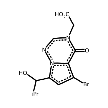 CC(C)C(O)c1cc(Br)c2c(=O)n(CC(=O)O)cnn12